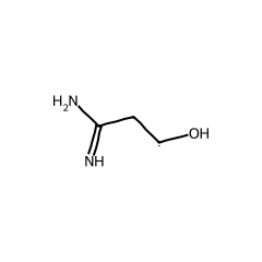 N=C(N)C[CH]O